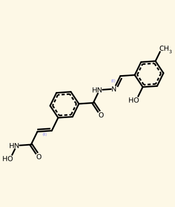 Cc1ccc(O)c(/C=N/NC(=O)c2cccc(/C=C/C(=O)NO)c2)c1